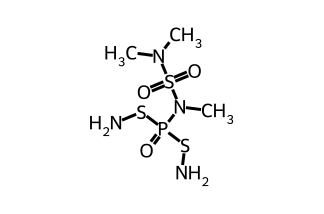 CN(C)S(=O)(=O)N(C)P(=O)(SN)SN